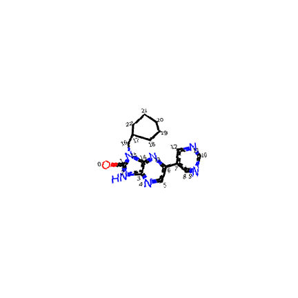 O=c1[nH]c2ncc(-c3cncnc3)nc2n1CC1CCCCC1